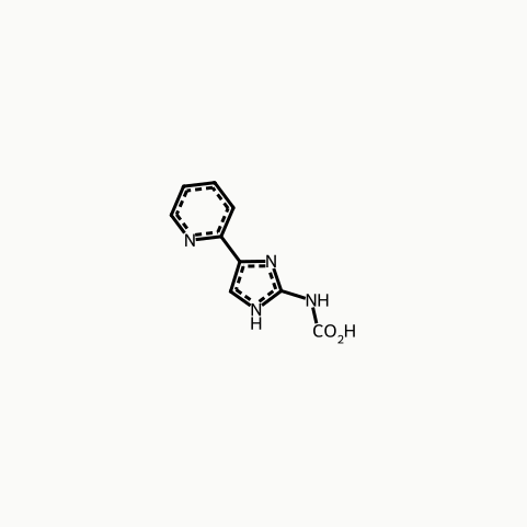 O=C(O)Nc1nc(-c2ccccn2)c[nH]1